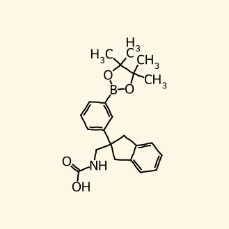 CC1(C)OB(c2cccc(C3(CNC(=O)O)Cc4ccccc4C3)c2)OC1(C)C